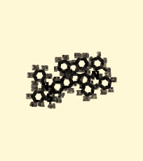 Cc1ccccc1N(c1ccccc1)c1cc2c(c3ccccc13)-c1cc3ccc(N(c4ccccc4)c4ccccc4[Si](C)(C)C)cc3cc1C21c2ccccc2-c2ccccc21